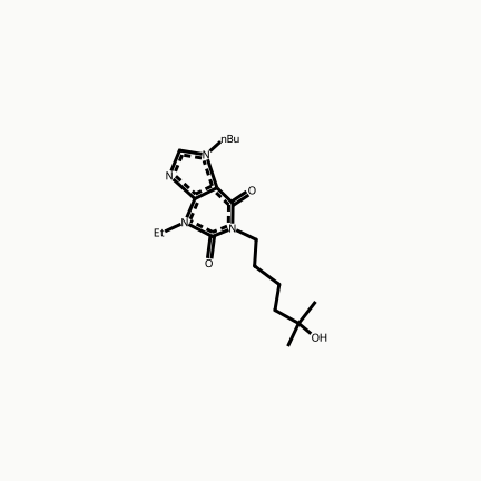 CCCCn1cnc2c1c(=O)n(CCCCC(C)(C)O)c(=O)n2CC